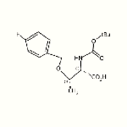 C[C@H](OCc1ccc(F)cc1)[C@H](NC(=O)OC(C)(C)C)C(=O)O